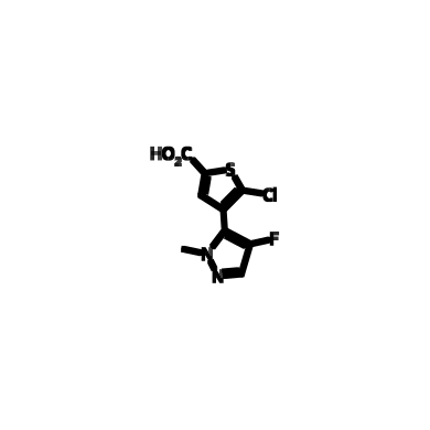 Cn1ncc(F)c1-c1cc(C(=O)O)sc1Cl